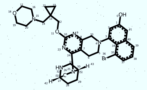 Oc1cc(N2CCc3c(nc(OCC4(CN5CCOCC5)CC4)nc3N3C[C@@H]4CC[C@H]3CN4)C2)c2c(Br)cccc2c1